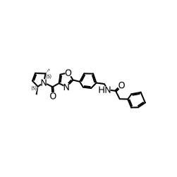 C[C@H]1C=C[C@H](C)N1C(=O)c1coc(-c2ccc(CNC(=O)Cc3ccccc3)cc2)n1